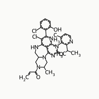 C=CC(=O)N1CC2CNc3c(Cl)c(-c4c(O)cccc4Cl)nc4c3c(nc(=O)n4-c3c(C)ccnc3C(C)C)N2CC1C